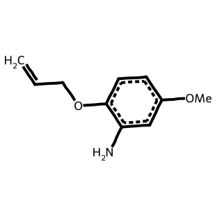 C=CCOc1ccc(OC)cc1N